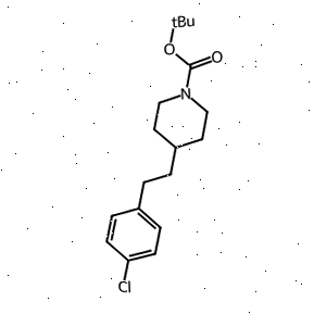 CC(C)(C)OC(=O)N1CCC(CCc2ccc(Cl)cc2)CC1